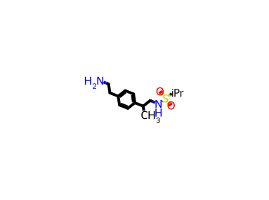 CC(CNS(=O)(=O)C(C)C)c1ccc(CCN)cc1